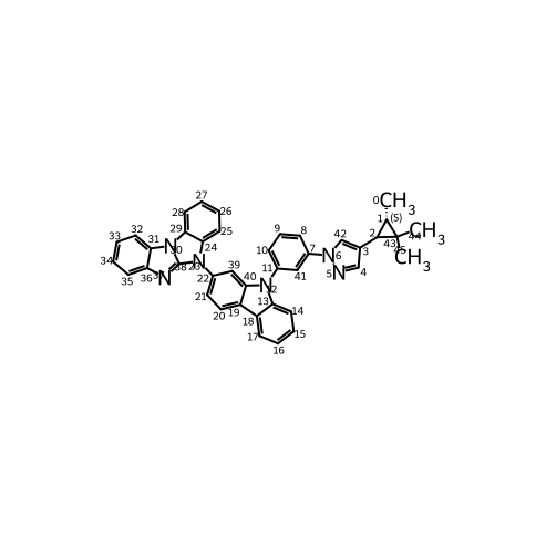 C[C@H]1C(c2cnn(-c3cccc(-n4c5ccccc5c5ccc(-n6c7ccccc7n7c8ccccc8nc67)cc54)c3)c2)C1(C)C